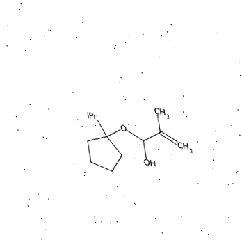 C=C(C)C(O)OC1(C(C)C)CCCC1